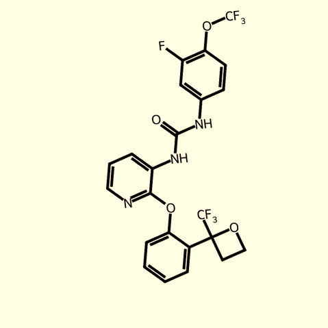 O=C(Nc1ccc(OC(F)(F)F)c(F)c1)Nc1cccnc1Oc1ccccc1C1(C(F)(F)F)CCO1